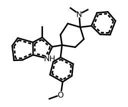 COc1ccc(C2(c3[nH]c4ccccc4c3C)CCC(c3ccccc3)(N(C)C)CC2)cc1